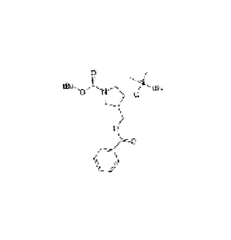 CC(C)(C)OC(=O)N1CC(COC(=O)c2ccccc2)C(O[Si](C)(C)C(C)(C)C)C1